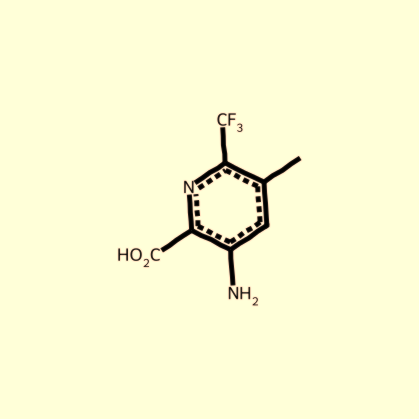 Cc1cc(N)c(C(=O)O)nc1C(F)(F)F